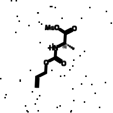 C=CCOC(=O)N[C@@H](C)C(=O)OC